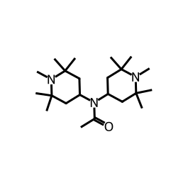 CC(=O)N(C1CC(C)(C)N(C)C(C)(C)C1)C1CC(C)(C)N(C)C(C)(C)C1